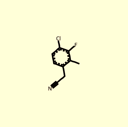 Cc1c(CC#N)ccc(Cl)c1F